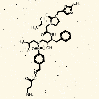 Cc1nc(CN2CCN([C@H](C(=O)N[C@@H](Cc3ccccc3)[C@H](O)CN(CC(C)C)S(=O)(=O)c3ccc(/C=N/OC(=O)CCN)cc3)C(C)C)C2=O)cs1